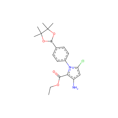 CCOC(=O)c1c(N)cc(Cl)n1-c1ccc(B2OC(C)(C)C(C)(C)O2)cc1